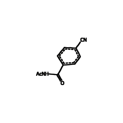 CC(=O)NC(=O)c1ccc(C#N)cc1